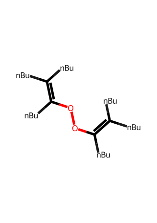 CCCCC(CCCC)=C(CCCC)OOC(CCCC)=C(CCCC)CCCC